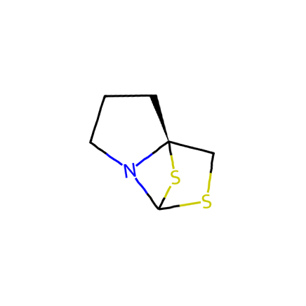 C1CN2C3SC[C@]2(C1)S3